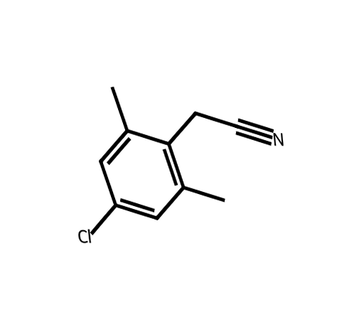 Cc1cc(Cl)cc(C)c1CC#N